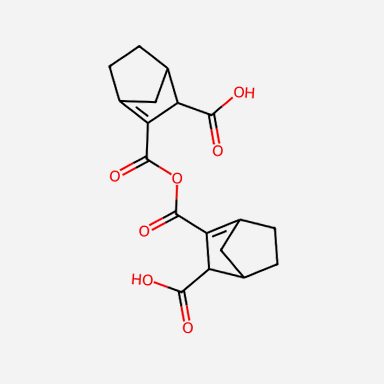 O=C(OC(=O)C1=C2CCC(C2)C1C(=O)O)C1=C2CCC(C2)C1C(=O)O